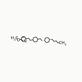 CCCCC[C@H]1CC[C@H](CCC2CCC(CCc3ccc(OC)cn3)CC2)CC1